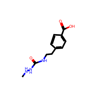 CNNC(=O)NCCc1ccc(C(=O)O)cc1